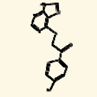 O=C(CSc1ncnc2[nH]cnc12)c1ccc(Br)cc1